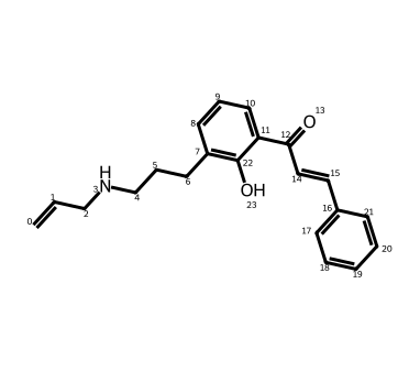 C=CCNCCCc1cccc(C(=O)C=Cc2ccccc2)c1O